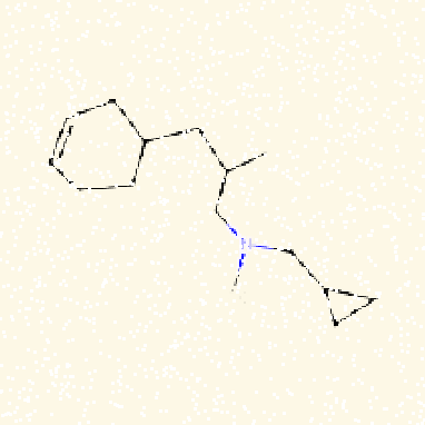 CCC(CC1CC=CCC1)CN(CC1CC1)C(C)=O